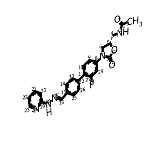 CC(=O)NC[C@H]1CN(c2ccc(-c3ccc(C=NNc4ccccn4)cc3)c(F)c2)C(=O)O1